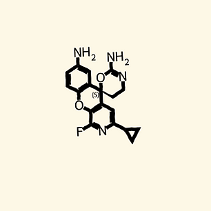 NC1=NCC[C@]2(O1)c1cc(N)ccc1Oc1c2cc(C2CC2)nc1F